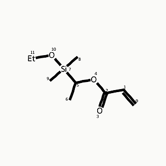 C=CC(=O)OC(C)[Si](C)(C)OCC